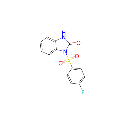 O=c1[nH]c2ccccc2n1S(=O)(=O)c1ccc(F)cc1